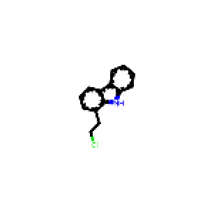 ClCCc1cccc2c1[nH]c1ccccc12